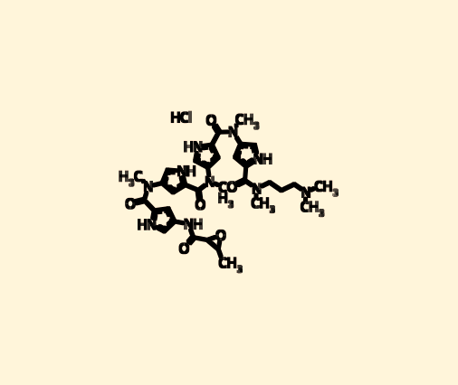 CC1OC1C(=O)Nc1c[nH]c(C(=O)N(C)c2c[nH]c(C(=O)N(C)c3c[nH]c(C(=O)N(C)c4c[nH]c(C(=O)N(C)CCCN(C)C)c4)c3)c2)c1.Cl